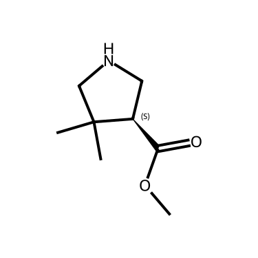 COC(=O)[C@@H]1CNCC1(C)C